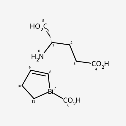 N[C@@H](CCC(=O)O)C(=O)O.O=[C](O)[Bi]1[CH]=CC[CH2]1